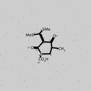 CSC(SC)=C1C(=O)C(C)CN(C(=O)O)C1=O